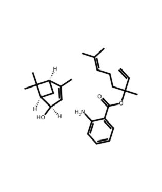 C=CC(C)(CCC=C(C)C)OC(=O)c1ccccc1N.CC1=C[C@@H](O)[C@@H]2C[C@H]1C2(C)C